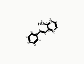 Oc1nccnc1C=Cc1ccccc1